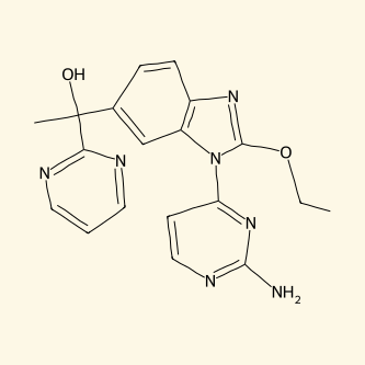 CCOc1nc2ccc(C(C)(O)c3ncccn3)cc2n1-c1ccnc(N)n1